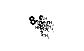 CSCC[C@H](NC(=O)CN(Cc1cccc2ccccc12)C(C(=O)CN(C)C)[C@@H]1CCCN1)C(=O)OC(C)C